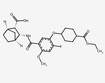 CCOC(=O)C1CCC(Oc2cc(C(=O)N[C@@H]3[C@H]4CC[C@H](C4)[C@@H]3C(=O)O)c(OC)cc2F)CC1